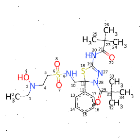 CCN(O)CCS(=O)(=O)NCC1(c2ccccc2)SC(NC(=O)C(C)(C)C)=NN1C(=O)C(C)(C)C